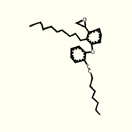 CCCCCCCCCc1ccccc1Oc1cccc(C2CO2)c1CCCCCCCCC